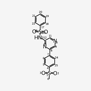 CS(=O)(=O)c1ccc(-c2cncc(NS(=O)(=O)c3ccccc3)n2)cc1